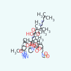 CO[C@@H]1C[C@H](C[C@@H](C)[C@H](CC[C@H](C)/C=C(\C)[C@@H](O)[C@@H](OC)C(=O)[C@H](C)C[C@H](C)/C=C/C=C/C=C(C)C)OC(=O)[C@@H]2CCCCN2C(=O)C(=O)[C@]2(O)O[C@H](CCN3CCS3(=O)=O)CC[C@H]2C)CC[C@@H]1n1cnnn1